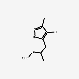 Cc1n[nH]c(CC(C)OC=O)c1Cl